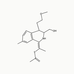 C=C(C)S/C(C)=C1/NC(CO)C(CCOC)c2ccc(C)cc21